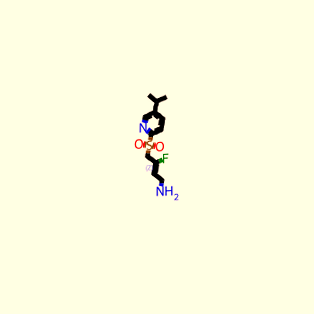 CC(C)c1ccc(S(=O)(=O)C/C(F)=C/CN)nc1